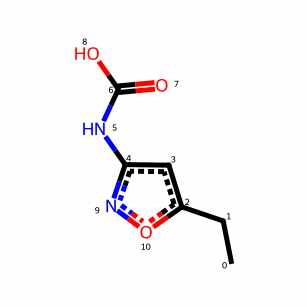 CCc1cc(NC(=O)O)no1